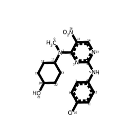 CN(c1nc(Nc2ccc(Cl)cc2)ncc1[N+](=O)[O-])C1CCC(O)CC1